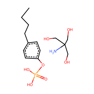 CCCCc1ccc(OP(=O)(O)O)cc1.NC(CO)(CO)CO